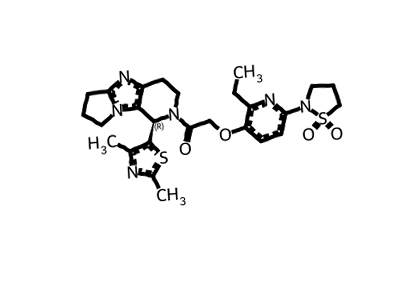 CCc1nc(N2CCCS2(=O)=O)ccc1OCC(=O)N1CCc2nc3n(c2[C@@H]1c1sc(C)nc1C)CCC3